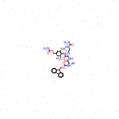 CC1=C(NC(=O)[C@H](CCCNC(N)=O)NC(=O)[C@@H](NC(=O)OCC2c3ccccc3-c3ccccc32)C(C)C)C(C)CC(COC(N)=O)=C1